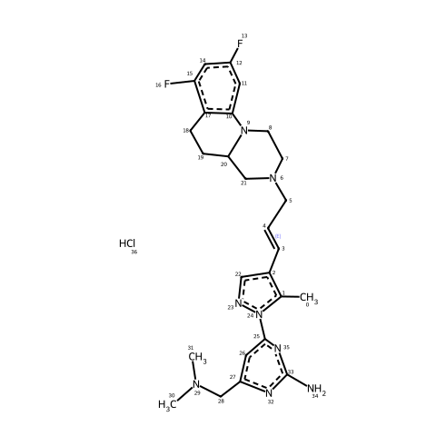 Cc1c(/C=C/CN2CCN3c4cc(F)cc(F)c4CCC3C2)cnn1-c1cc(CN(C)C)nc(N)n1.Cl